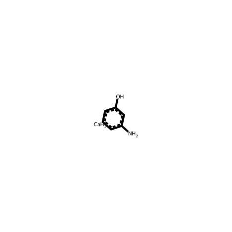 Nc1cccc(O)c1.[CaH2]